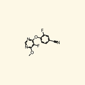 COc1ncnc(Oc2ccc(C#N)cc2F)c1F